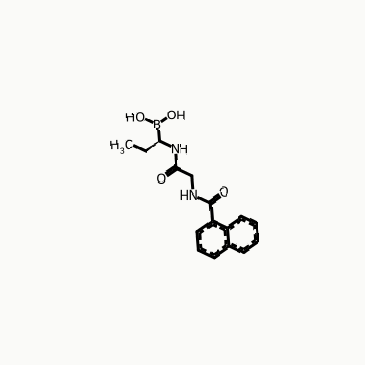 CC[C@H](NC(=O)CNC(=O)c1cccc2ccccc12)B(O)O